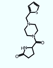 O=C1CCC(C(=O)N2CCN(Cc3cccs3)CC2)N1